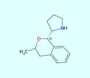 CC1Cc2ccccc2[C@@H](C2CCCN2)O1